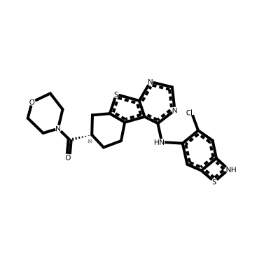 O=C([C@H]1CCc2c(sc3ncnc(Nc4cc5s[nH]c5cc4Cl)c23)C1)N1CCOCC1